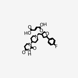 O=C(O)C=CC(=O)O.O=C1CCN(C2CCN(CC3COC(c4ccc(F)cc4)C3)CC2)C(=O)N1